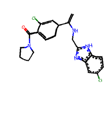 C=C(NCc1nc2cc(Cl)ccc2[nH]1)C1C=C(Cl)C(C(=O)N2CCCC2)=CC1